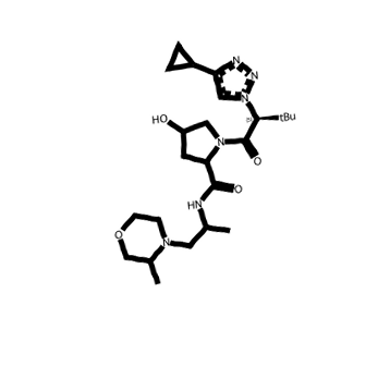 CC(CN1CCOCC1C)NC(=O)C1CC(O)CN1C(=O)[C@@H](n1cc(C2CC2)nn1)C(C)(C)C